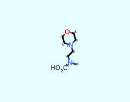 CN(CCN1CCOCC1)C(=O)O